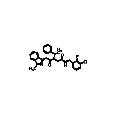 Cc1nn(CC(=O)N(CC(=O)NCc2cccc(Cl)c2F)C(C)c2ccccc2)c2ccccc12